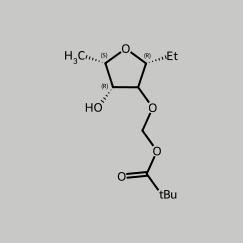 CC[C@H]1O[C@@H](C)[C@@H](O)C1OCOC(=O)C(C)(C)C